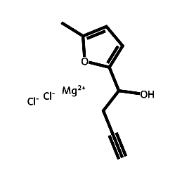 C#CCC(O)c1ccc(C)o1.[Cl-].[Cl-].[Mg+2]